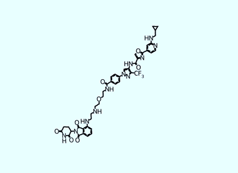 O=C1CCC(N2C(=O)c3cccc(NCCNCCOCCNC(=O)c4ccc(-n5cc(NC(=O)c6coc(-c7ccnc(NCC8CC8)c7)n6)c(C(F)(F)F)n5)cc4)c3C2=O)C(=O)N1